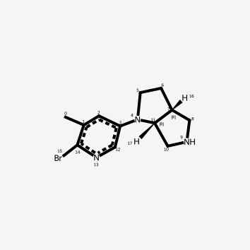 Cc1cc(N2CC[C@@H]3CNC[C@@H]32)cnc1Br